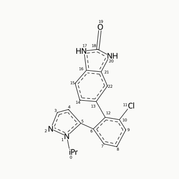 CC(C)n1nccc1-c1cccc(Cl)c1-c1ccc2[nH]c(=O)[nH]c2c1